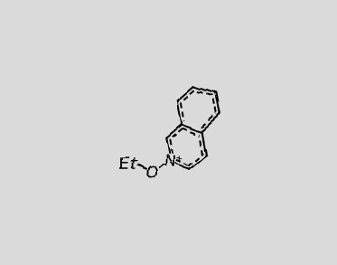 CCO[n+]1ccc2ccccc2c1